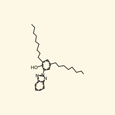 CCCCCCCCCc1cc(CCCCCCCC)cc(-n2nc3ccccc3n2)c1O